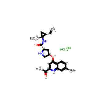 C=C[C@@H]1C[C@]1(NC(=O)[C@@H]1C[C@@H](Oc2cc(C(=O)OC)nc3cc(OC)ccc23)CN1)C(=O)OCC.Cl.Cl